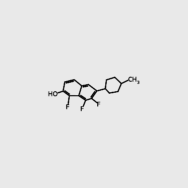 CC1CCC(c2cc3ccc(O)c(F)c3c(F)c2F)CC1